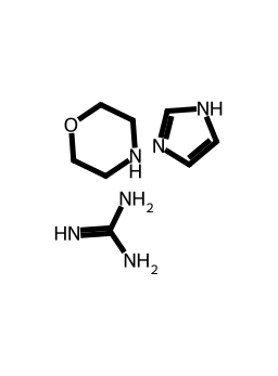 C1COCCN1.N=C(N)N.c1c[nH]cn1